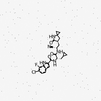 N#C[C@H](C[C@@H]1CC2(CC2)NC1=O)NC(=O)[C@H](CC1CC1)NC(=O)c1cc2ccc(Cl)c(F)c2[nH]1